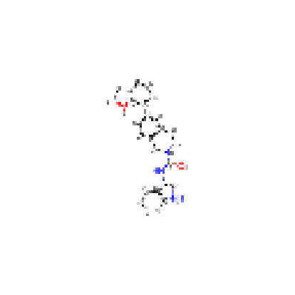 O=C(Nc1c[nH]c2ccccc12)N1CCc2cc(-c3cccc4ccoc34)ccc2C1